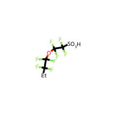 CCC(F)(F)C(F)(F)OC(F)(F)C(F)(F)S(=O)(=O)O